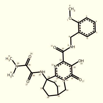 COc1ccccc1CNC(=O)c1nc2n(c(=O)c1O)CC1CCC2(NC(=O)C(=O)N(C)C)CC1